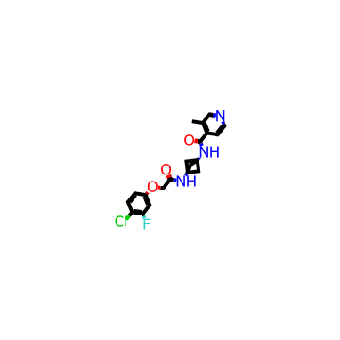 Cc1cnccc1C(=O)NC12CC(NC(=O)COc3ccc(Cl)c(F)c3)(C1)C2